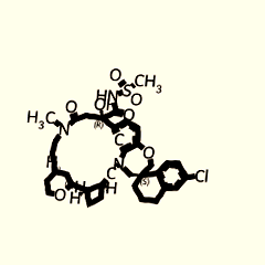 CN1CC[C@@H]2CCO[C@@H](C2)[C@@H]2CC[C@H]2CN2C[C@@]3(CCCc4cc(Cl)ccc43)COc3ccc(cc32)[C@@](O)(C(=O)NS(C)(=O)=O)CC1=O